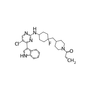 C=CC(=O)N1CCC(CC2(F)CCC(Nc3ncc(Cl)c(-c4c[nH]c5ccccc45)n3)CC2)CC1